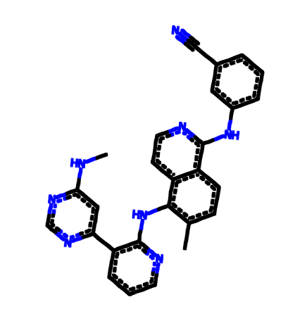 CNc1cc(-c2cccnc2Nc2c(C)ccc3c(Nc4cccc(C#N)c4)nccc23)ncn1